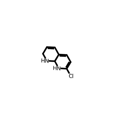 ClC1=CC=C2C=CCNC2N1